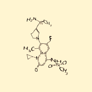 Cc1c(N2CCC([C@H](C)N)C2)c(F)cc2c(NS(C)(=O)=O)cc(=O)n(C3CC3)c12